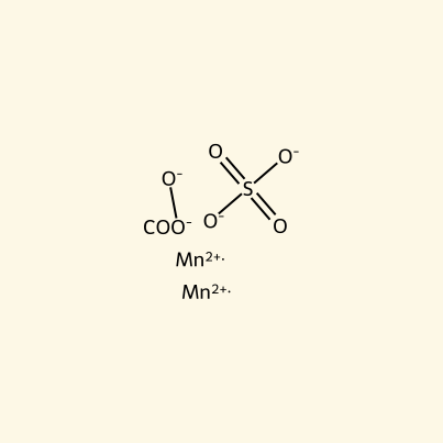 O=C([O-])[O-].O=S(=O)([O-])[O-].[Mn+2].[Mn+2]